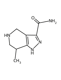 CC1CNCc2c(C(N)=O)n[nH]c21